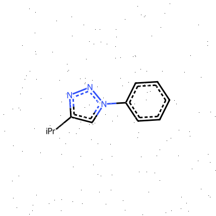 CC(C)c1cn(-c2ccccc2)nn1